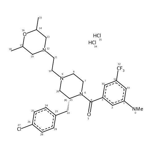 CNc1cc(C(=O)N2CCN(CCN3CC(C)OC(C)C3)C[C@H]2Cc2ccc(Cl)cc2)cc(C(F)(F)F)c1.Cl.Cl